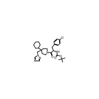 CC(C)(C)OC(=O)NC(Cc1ccc(Cl)cc1)C(=O)N1CCC(Cn2cncn2)(C2CCCCC2)CC1